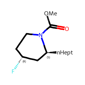 CCCCCCC[C@H]1C[C@H](F)CCN1C(=O)OC